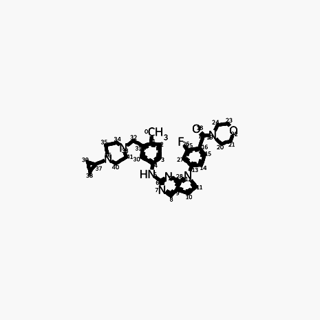 Cc1ccc(Nc2ncc3ccn(-c4ccc(C(=O)N5CCOCC5)c(F)c4)c3n2)cc1CN1CCN(C2CC2)CC1